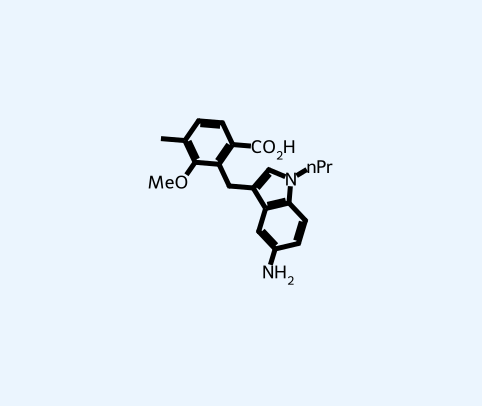 CCCn1cc(Cc2c(C(=O)O)ccc(C)c2OC)c2cc(N)ccc21